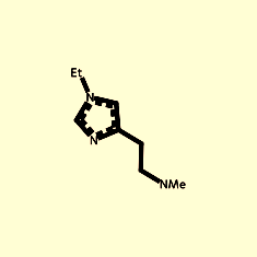 [CH2+][N-]CCc1cn(CC)cn1